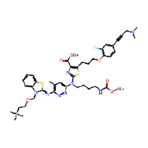 COC(=O)c1nc(N(CCCCNC(=O)OC(C)(C)C)c2cc(C)c(/N=c3\sc4ccccc4n3COCC[Si](C)(C)C)nn2)sc1CCCOc1ccc(C#CCN(C)C)cc1F